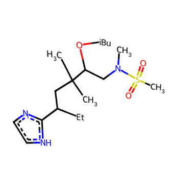 CCC(C)OC(CN(C)S(C)(=O)=O)C(C)(C)CC(CC)c1ncc[nH]1